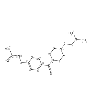 CN(C)CCN1CCN(C(=O)c2ccc(CNC(=O)C(C)(C)C)cc2)CC1